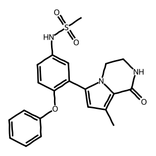 Cc1cc(-c2cc(NS(C)(=O)=O)ccc2Oc2ccccc2)n2c1C(=O)NCC2